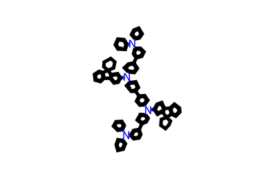 c1ccc(N(c2ccccc2)c2cccc(-c3ccc(N(c4ccc(-c5ccc(N(c6ccc(-c7cccc(N(c8ccccc8)c8ccccc8)c7)cc6)c6ccc7c(c6)C6(CCCCC6)c6ccccc6-7)cc5)cc4)c4ccc5c(c4)C4(CCCCC4)c4ccccc4-5)cc3)c2)cc1